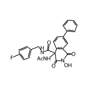 CC(=O)NC1(C(=O)NCc2ccc(F)cc2)C(=O)N(O)C(=O)c2cc(-c3ccccc3)ccc21